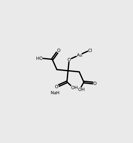 O=C(O)CC(CC(=O)O)([O][Au][Cl])C(=O)O.[NaH]